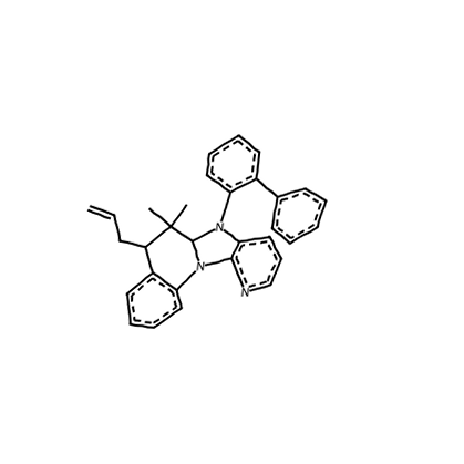 C=CCC1c2ccccc2N2c3ncccc3N(c3ccccc3-c3ccccc3)C2C1(C)C